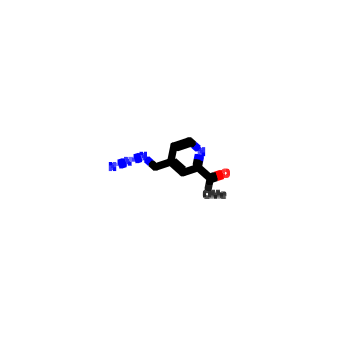 COC(=O)c1cc(CN=[N+]=[N-])ccn1